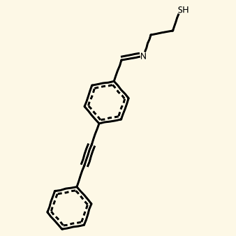 SCCN=Cc1ccc(C#Cc2ccccc2)cc1